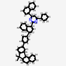 CC1(C)c2ccc(-c3ccc(-c4ccc(-c5nc(-c6ccccc6)cc(-c6cccc7ccccc67)n5)c5ccccc45)cc3)cc2-c2c1ccc1ccccc21